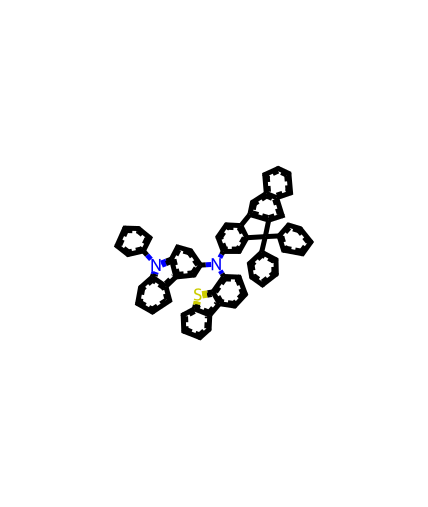 c1ccc(-n2c3ccccc3c3cc(N(c4ccc5c(c4)C(c4ccccc4)(c4ccccc4)c4cc6ccccc6cc4-5)c4cccc5c4sc4ccccc45)ccc32)cc1